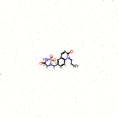 CC(C)CCn1c(=O)ccc2cc(CN3CC(=O)NS3(=O)=O)ccc21